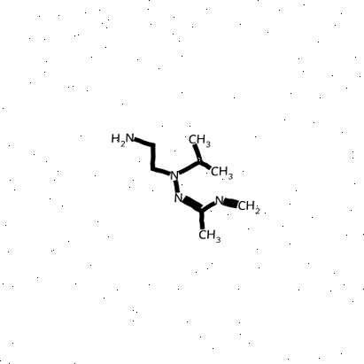 C=N/C(C)=N\N(CCN)C(C)C